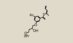 C=C/C=C(/C)SC(=C)c1cc(OC[C@@H](O)CCOCCC)cc(C(C)=O)c1